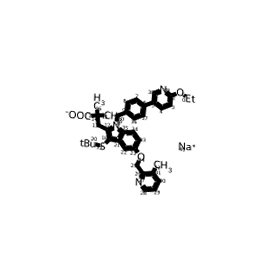 CCOc1ccc(-c2ccc(Cn3c(CC(C)(C)C(=O)[O-])c(SC(C)(C)C)c4cc(OCc5ncccc5C)ccc43)cc2)cn1.[Na+]